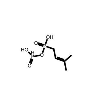 CC(C)=CCP(=O)(O)O[PH](=O)O